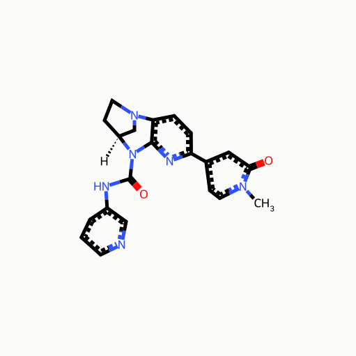 Cn1ccc(-c2ccc3c(n2)N(C(=O)Nc2cccnc2)[C@H]2CCN3C2)cc1=O